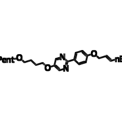 CCCCC=CCOc1ccc(-c2ncc(OCCCCOCCCCC)cn2)cc1